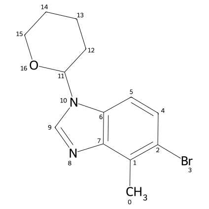 Cc1c(Br)ccc2c1ncn2C1CCCCO1